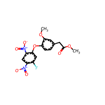 COC(=O)Cc1ccc(Oc2cc(F)c([N+](=O)[O-])cc2[N+](=O)[O-])c(OC)c1